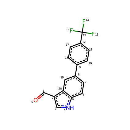 O=Cc1c[nH]c2ccc(-c3ccc(C(F)(F)F)cc3)cc12